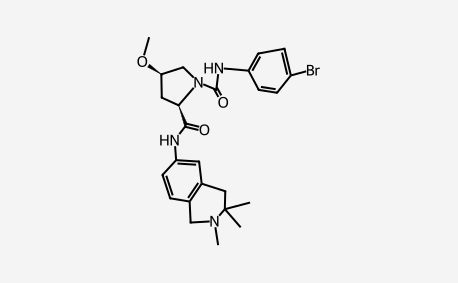 CO[C@@H]1C[C@H](C(=O)Nc2ccc3c(c2)CC(C)(C)N(C)C3)N(C(=O)Nc2ccc(Br)cc2)C1